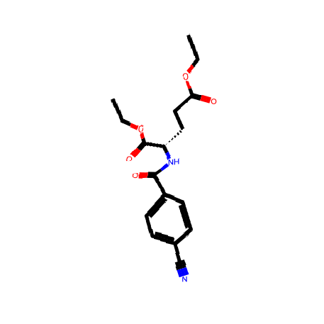 CCOC(=O)CC[C@H](NC(=O)c1ccc(C#N)cc1)C(=O)OCC